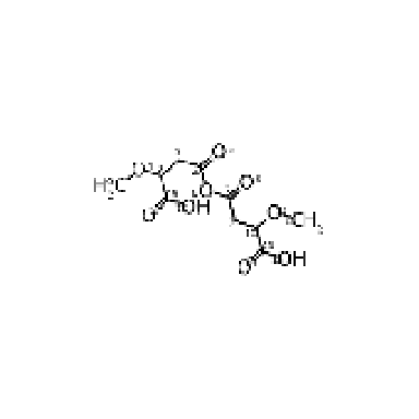 COC(CC(=O)OC(=O)CC(OC)C(=O)O)C(=O)O